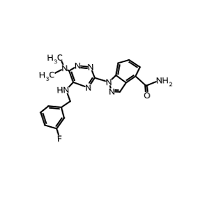 CN(C)c1nnc(-n2ncc3c(C(N)=O)cccc32)nc1NCc1cccc(F)c1